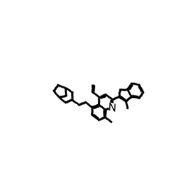 C=Cc1cc(C2=C(C)c3ccccc3C2)nc2c(C)ccc(CCC3CC4CCC(C3)C4)c12